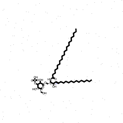 CCCCCCCCCCCCC/C=C/[C@@H](O)[C@H](CO[C@@H]1O[C@H](CO)[C@H](O)C(OS(=O)(=O)O)C1O)NC(=O)CCCCCCCCCCCCCCCCCCCCC